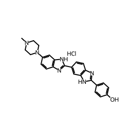 CN1CCN(c2ccc3nc(-c4ccc5nc(-c6ccc(O)cc6)[nH]c5c4)[nH]c3c2)CC1.Cl